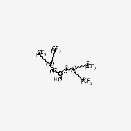 O=C(CCC(OCCCCCCC(F)(F)C(F)(F)F)OCCCCCCC(F)(F)C(F)(F)F)OCc1cc(CO)cc(COC(=O)CCC(OCCCCCCC(F)(F)C(F)(F)F)OCCCCCCC(F)(F)C(F)(F)F)c1